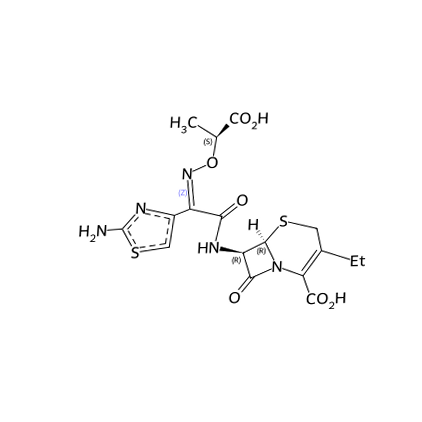 CCC1=C(C(=O)O)N2C(=O)[C@@H](NC(=O)/C(=N\O[C@@H](C)C(=O)O)c3csc(N)n3)[C@H]2SC1